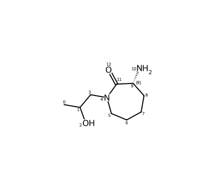 CC(O)CN1CCCC[C@@H](N)C1=O